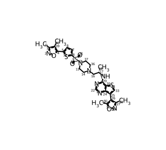 Cc1noc(-c2ccc(S(=O)(=O)N3CCN(C[C@H](C)Nc4ncnc5c(-c6c(C)noc6C)csc45)CC3)s2)c1C